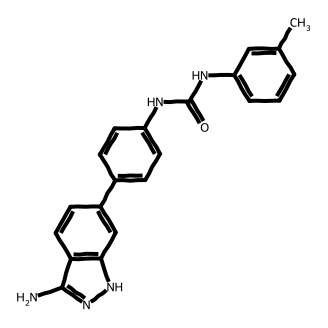 Cc1cccc(NC(=O)Nc2ccc(-c3ccc4c(N)n[nH]c4c3)cc2)c1